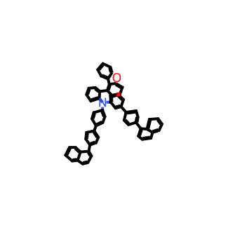 c1cc(-c2ccc(-c3cccc4ccccc34)cc2)cc(N(c2ccc(-c3ccc(-c4cccc5ccccc45)cc3)cc2)c2ccccc2-c2cccc3oc4ccccc4c23)c1